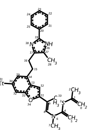 C=C(C)SC(=C)N(C)/C=C(\C)c1cc2c(CCc3nc(-c4ccccc4)[nH]c3C)cc(CC)cc2o1